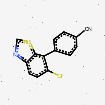 N#Cc1ccc(-c2c(S)ccc3ncsc23)cc1